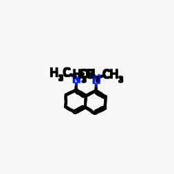 CN(C)C1=c2c(N(C)C)cccc2=CCC1